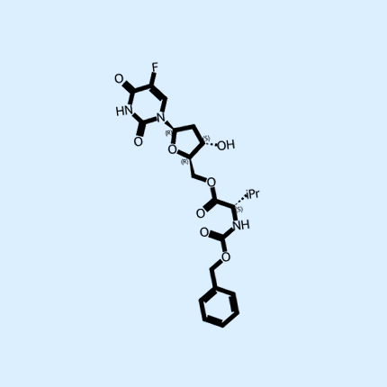 CC(C)[C@H](NC(=O)OCc1ccccc1)C(=O)OC[C@H]1O[C@@H](n2cc(F)c(=O)[nH]c2=O)C[C@@H]1O